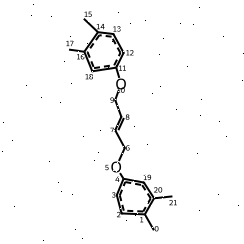 Cc1ccc(OCC=CCOc2ccc(C)c(C)c2)cc1C